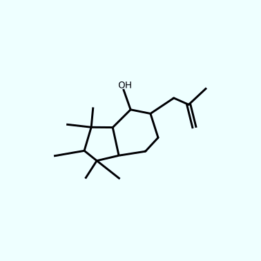 C=C(C)CC1CCC2C(C1O)C(C)(C)C(C)C2(C)C